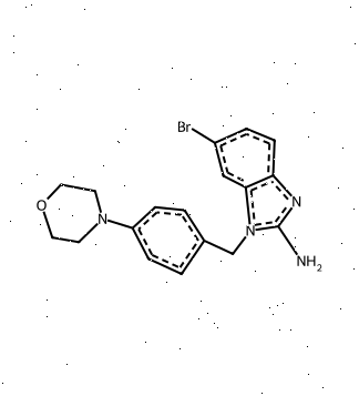 Nc1nc2ccc(Br)cc2n1Cc1ccc(N2CCOCC2)cc1